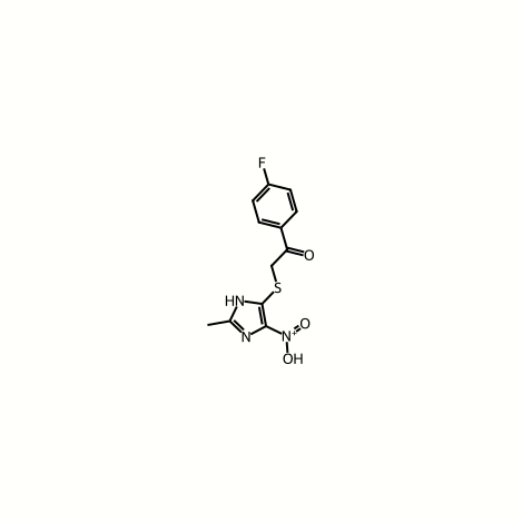 Cc1nc([N+](=O)O)c(SCC(=O)c2ccc(F)cc2)[nH]1